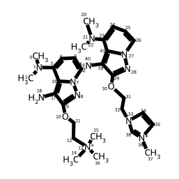 CN(C)c1cccn2nc(OCC[N+](C)(C)C)c(N)c12.CN(C)c1cccn2nc(OCCn3cc[n+](C)c3)c(N)c12